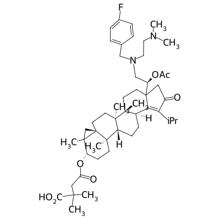 CC(=O)O[C@H](CN(CCN(C)C)Cc1ccc(F)cc1)C12CC[C@]3(C)[C@H](CC[C@@H]4[C@@]5(C)CC[C@H](OC(=O)CC(C)(C)C(=O)O)C6(C)C[C@]65CC[C@]43C)C1=C(C(C)C)C(=O)C2